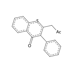 CC(=O)Cc1sc2ccccc2c(=O)c1-c1ccccc1